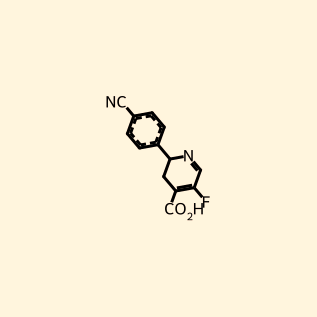 N#Cc1ccc(C2CC(C(=O)O)=C(F)C=N2)cc1